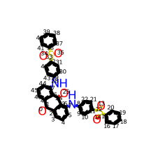 O=C1c2cccc(Nc3ccc(S(=O)(=O)c4ccccc4)cc3)c2C(=O)c2c(Nc3ccc(S(=O)(=O)c4ccccc4)cc3)cccc21